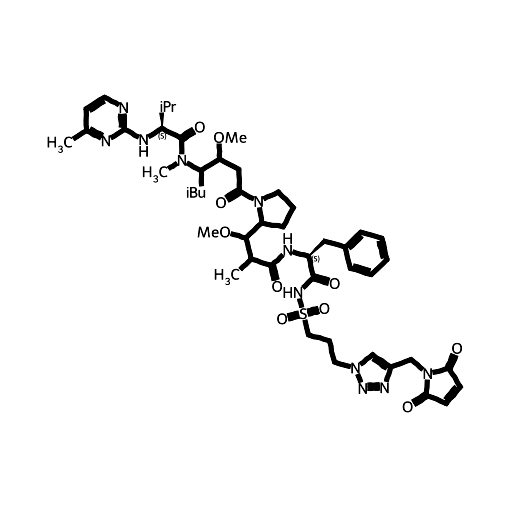 CCC(C)C(C(CC(=O)N1CCCC1C(OC)C(C)C(=O)N[C@@H](Cc1ccccc1)C(=O)NS(=O)(=O)CCCn1cc(CN2C(=O)C=CC2=O)nn1)OC)N(C)C(=O)[C@@H](Nc1nccc(C)n1)C(C)C